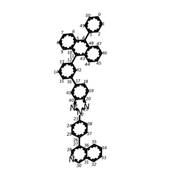 c1ccc(-c2c3ccccc3c(-c3cccc(-c4ccc5nn(-c6ccc(-c7cncc8ccccc78)cc6)nc5c4)c3)c3ccccc23)cc1